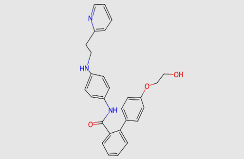 O=C(Nc1ccc(NCCc2ccccn2)cc1)c1ccccc1-c1ccc(OCCO)cc1